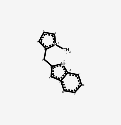 Cn1cccc1Cc1cc2ccccc2[nH]1